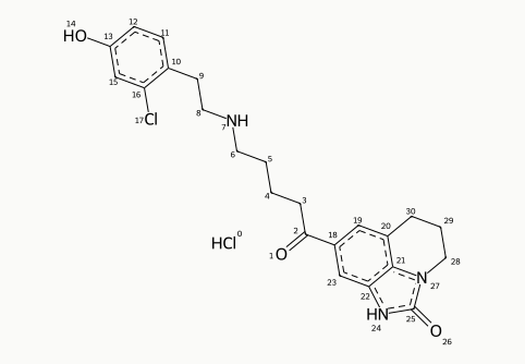 Cl.O=C(CCCCNCCc1ccc(O)cc1Cl)c1cc2c3c(c1)[nH]c(=O)n3CCC2